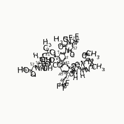 CC(C)OC(=O)c1cc(-n2c(=O)cc(C(F)(F)F)n(C)c2=O)ccc1Cl.COc1nc(C)nc(NC(=O)NS(=O)(=O)c2ccccc2CCC(F)(F)F)n1.O=C(O)CNCP(=O)(O)O